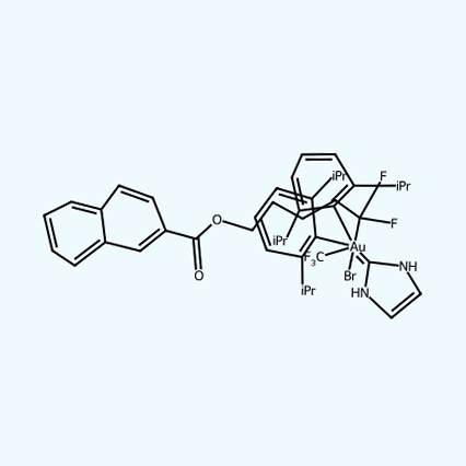 CC(C)c1cccc(C(C)C)[c]1[Au]([Br])([c]1c(C(C)C)cccc1C(C)C)(=[c]1[nH]cc[nH]1)([C](F)(F)F)[C](F)(F)CCCCOC(=O)c1ccc2ccccc2c1